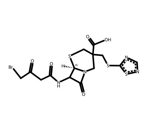 O=C(CBr)CC(=O)NC1C(=O)N2CC(CSc3ncns3)(C(=O)O)CS[C@H]12